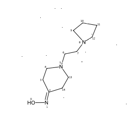 ON=C1CCN(CCN2CCCC2)CC1